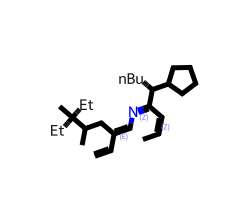 C=C/C(=C/N=C(\C=C/C)C(CCCC)C1CCCC1)CC(C)C(C)(CC)CC